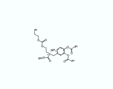 COC(=O)[C@@](N)(CCOC(=O)OCCC(C)C)Cc1ccc(OC(=O)C(C)C)c(OC(=O)C(C)C)c1